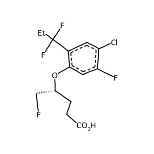 CCC(F)(F)c1cc(Cl)c(F)cc1O[C@@H](CF)CCC(=O)O